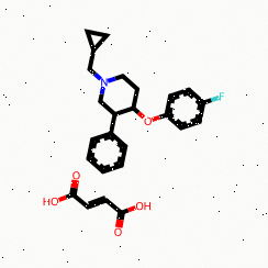 Fc1ccc(OC2CCN(CC3CC3)CC2c2ccccc2)cc1.O=C(O)C=CC(=O)O